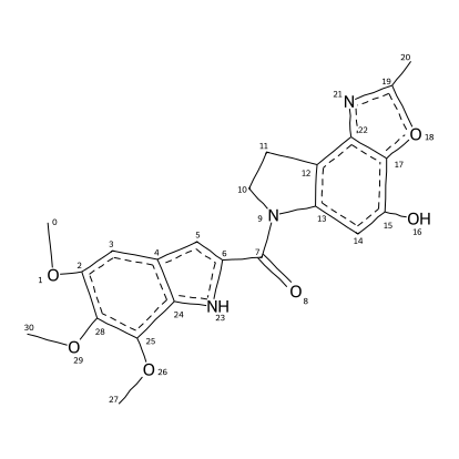 COc1cc2cc(C(=O)N3CCc4c3cc(O)c3oc(C)nc43)[nH]c2c(OC)c1OC